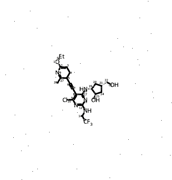 CCOC1=CCC(C#Cc2c(Cl)nc(NCC(F)(F)F)nc2N[C@@H]2C[C@H](CO)C[C@H]2O)C(C)=N1